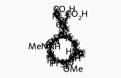 CNC(=O)C[C@@H]1NC(=O)c2csc(n2)-c2ccc(-c3nc(N(CCCCC(=O)O)C(=O)OCc4ccc(C(=O)O)cn4)cs3)nc2-c2csc(n2)-c2csc(n2)[C@H](Cc2ccccc2)NC(=O)CNC(=O)c2nc(sc2COC)C(C(C)C)NC(=O)c2nc1sc2C